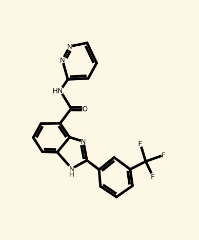 O=C(Nc1cccnn1)c1cccc2[nH]c(-c3cccc(C(F)(F)F)c3)nc12